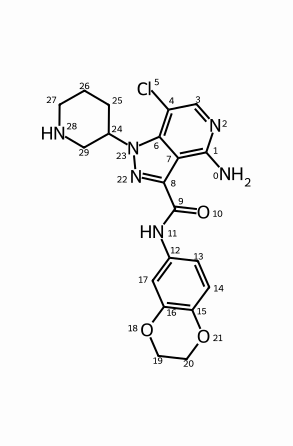 Nc1ncc(Cl)c2c1c(C(=O)Nc1ccc3c(c1)OCCO3)nn2C1CCCNC1